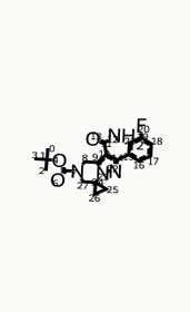 CC(C)(C)OC(=O)N1Cc2c(C(N)=O)c(-c3cccc(F)c3)nn2C2(CC2)C1